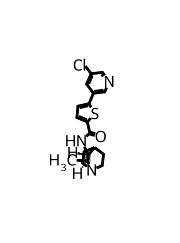 C[C@H]1[C@H](NC(=O)c2ccc(-c3cncc(Cl)c3)s2)C2CCN1CC2